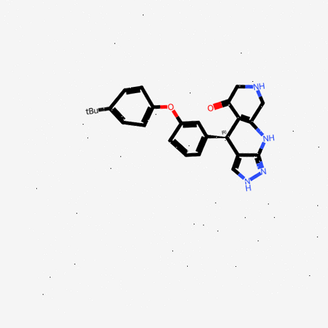 CC(C)(C)c1ccc(Oc2cccc([C@H]3C4=C(CNCC4=O)Nc4n[nH]cc43)c2)cc1